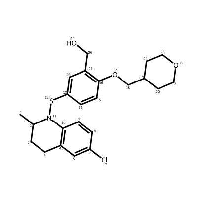 CC1CCc2cc(Cl)ccc2N1Sc1ccc(OCC2CCOCC2)c(CO)c1